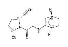 C#C[C@H]1CC[C@@H](C#N)N1C(=O)CNC1C[C@@H]2CC[C@@H]1C2